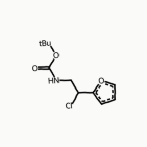 CC(C)(C)OC(=O)NCC(Cl)c1ccco1